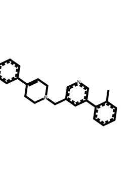 Cc1ccccc1-c1cncc(CN2CC=C(c3ccccc3)CC2)c1